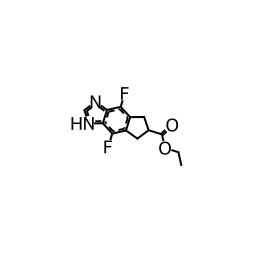 CCOC(=O)C1Cc2c(c(F)c3[nH]cnc3c2F)C1